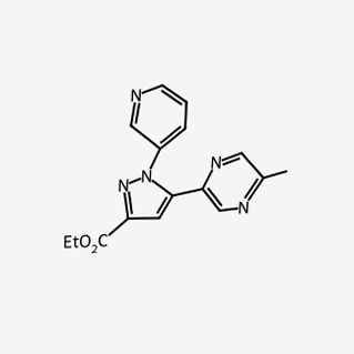 CCOC(=O)c1cc(-c2cnc(C)cn2)n(-c2cccnc2)n1